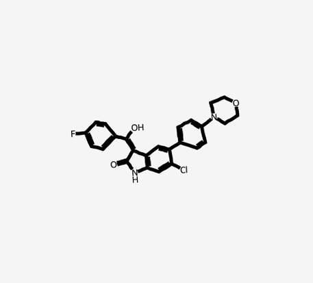 O=C1Nc2cc(Cl)c(-c3ccc(N4CCOCC4)cc3)cc2C1=C(O)c1ccc(F)cc1